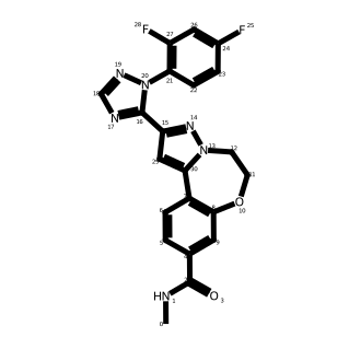 CNC(=O)c1ccc2c(c1)OCCn1nc(-c3ncnn3-c3ccc(F)cc3F)cc1-2